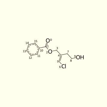 O=C(OCC(=CCl)CCO)c1ccccc1